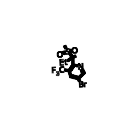 CCC(C)(c1ncc(Br)cc1C(F)(F)F)S(C)(=O)=O